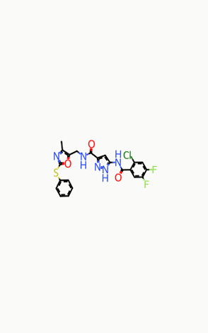 Cc1nc(Sc2ccccc2)oc1CNC(=O)c1cc(NC(=O)c2cc(F)c(F)cc2Cl)[nH]n1